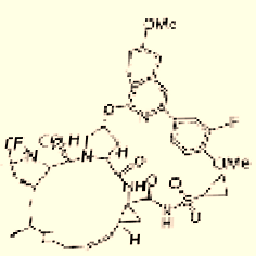 COc1ccc2c(O[C@@H]3C[C@H]4C(=O)N[C@]5(C(=O)NS(=O)(=O)C6CC6)C[C@H]5C=CCC[C@@H](C)C[C@@H](C)[C@H](N(C(=O)O)C(C)(C)C(F)(F)F)C(=O)N4C3)nc(-c3ccc(OC)c(F)c3)cc2c1